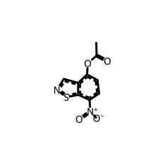 CC(=O)Oc1ccc([N+](=O)[O-])c2sncc12